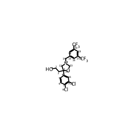 OCCC1(c2ccc(Cl)c(Cl)c2)CN(Cc2cc(C(F)(F)F)cc(C(F)(F)F)c2)CO1